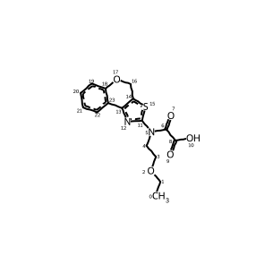 CCOCCN(C(=O)C(=O)O)c1nc2c(s1)COc1ccccc1-2